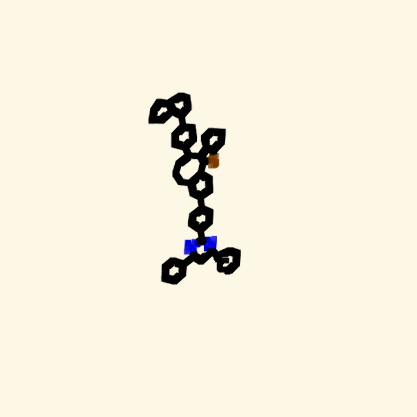 C1=C(/c2ccc(-c3cccc4ccccc34)cc2)c2c(sc3ccccc23)-c2ccc(-c3ccc(-c4nc(-c5ccccc5)cc(-c5ccccc5)n4)cc3)cc2CC/1